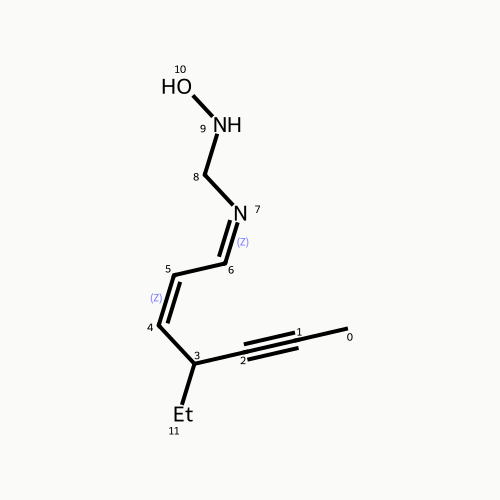 CC#CC(/C=C\C=N/CNO)CC